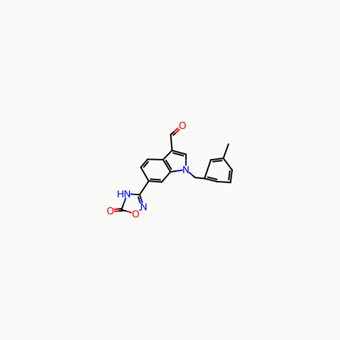 Cc1cccc(Cn2cc(C=O)c3ccc(-c4noc(=O)[nH]4)cc32)c1